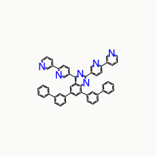 c1ccc(-c2cccc(-c3cc(-c4cccc(-c5ccccc5)c4)c4nc(-c5ccc(-c6cccnc6)nc5)nc(-c5ccc(-c6cccnc6)nc5)c4c3)c2)cc1